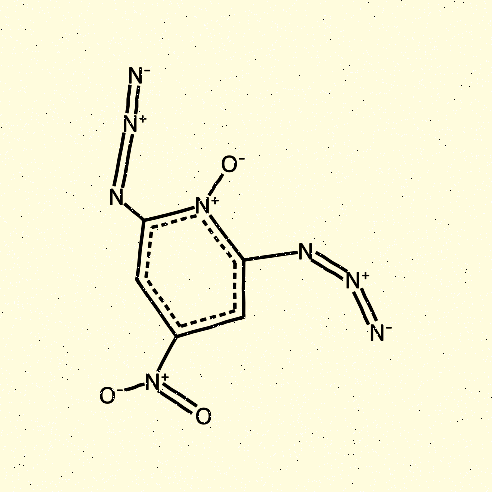 [N-]=[N+]=Nc1cc([N+](=O)[O-])cc(N=[N+]=[N-])[n+]1[O-]